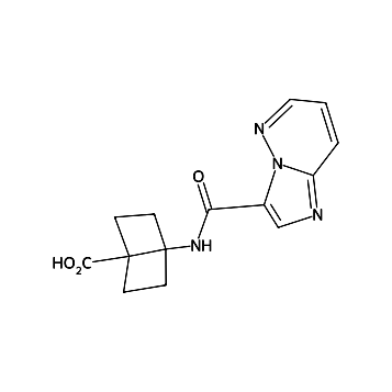 O=C(NC12CCC1(C(=O)O)CC2)c1cnc2cccnn12